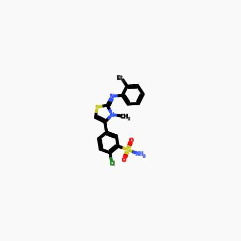 CCc1ccccc1/N=c1/scc(-c2ccc(Cl)c(S(N)(=O)=O)c2)n1C